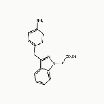 CCOC(=O)Cn1nc(Cc2ccc(N)cc2)c2ccccc21